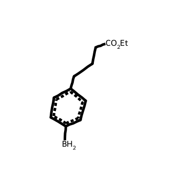 Bc1ccc(CCCC(=O)OCC)cc1